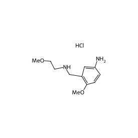 COCCNCc1cc(N)ccc1OC.Cl